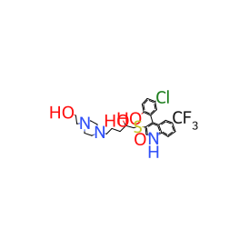 O=c1[nH]c2ccc(C(F)(F)F)cc2c(-c2cc(Cl)ccc2O)c1SCC(O)CCCN1CCN(CCO)CC1